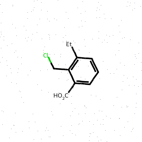 CCc1cccc(C(=O)O)c1CCl